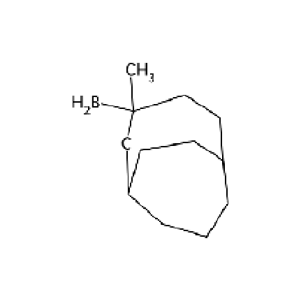 BC1(C)CCC2CCCC(CC2)C1